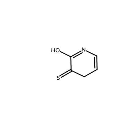 OC1=NC=CCC1=S